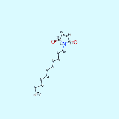 CC(C)CCCCCCCCCCN1C(=O)C=CC1=O